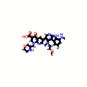 CNc1cc(F)c(F)c2c1[nH]c1ncc(-c3cnc4c(c3)c(=O)c(C(=O)O)cn4CC3COCCN3)c(N(C)CCOC)c12